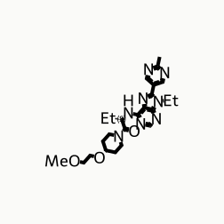 CC[C@H](Nc1ncnc2c1nc(-c1cnc(C)nc1)n2CC)C(=O)N1CCC(OCCOC)CC1